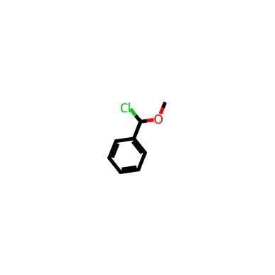 CO[C](Cl)c1ccccc1